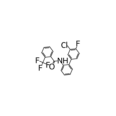 O=C(Nc1ccccc1-c1ccc(F)c(Cl)c1)c1ccccc1C(F)(F)F